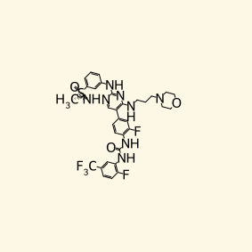 C[S@](=N)(=O)c1cccc(Nc2ncc(-c3ccc(NC(=O)Nc4cc(C(F)(F)F)ccc4F)c(F)c3)c(NCCCN3CCOCC3)n2)c1